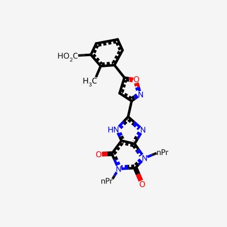 CCCn1c(=O)c2[nH]c(-c3cc(-c4cccc(C(=O)O)c4C)on3)nc2n(CCC)c1=O